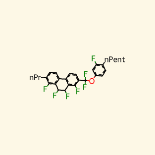 CCCCCc1ccc(OC(F)(F)c2ccc3c(c2F)C(F)C(F)c2c-3ccc(CCC)c2F)cc1F